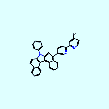 N#Cc1ccnc(-c2ccc(-c3cc4c(c5ccccc35)c3c5ccccc5ccc3n4-c3ccccc3)cn2)c1